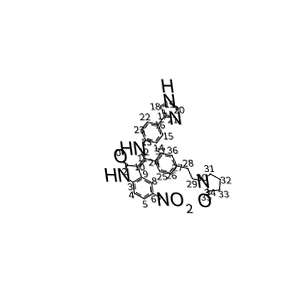 O=C1Nc2ccc([N+](=O)[O-])cc2C1=C(Nc1ccc(-c2c[nH]cn2)cc1)c1ccc(CCN2CCCC2=O)cc1